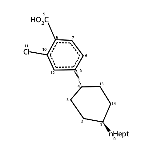 CCCCCCC[C@H]1CC[C@H](c2ccc(C(=O)O)c(Cl)c2)CC1